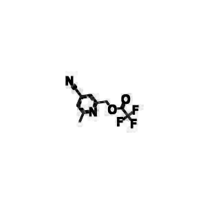 Cc1cc(C#N)cc(COC(=O)C(F)(F)F)n1